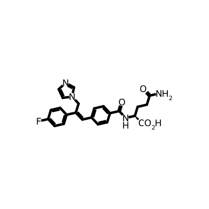 NC(=O)CC[C@H](NC(=O)c1ccc(C=C(Cn2ccnc2)c2ccc(F)cc2)cc1)C(=O)O